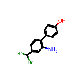 Nc1cc(C(Br)Br)ccc1-c1ccc(O)cc1